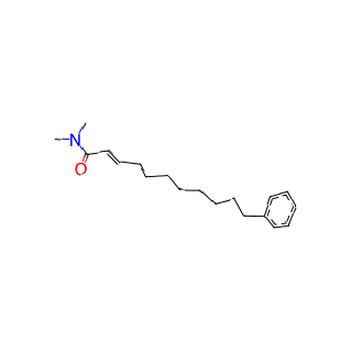 CN(C)C(=O)/C=C/CCCCCCCCc1ccccc1